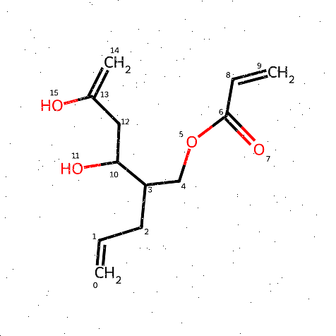 C=CCC(COC(=O)C=C)C(O)CC(=C)O